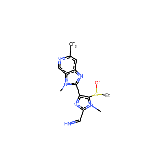 CC[S+]([O-])c1c(-c2nc3cc(C(F)(F)F)ncc3n2C)nc(C=N)n1C